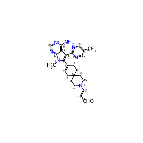 Cn1c(C2=CCC3(CC2)CCN(C=CC=O)CC3)c(-c2ncc(C(F)(F)F)cn2)c2c(N)ncnc21